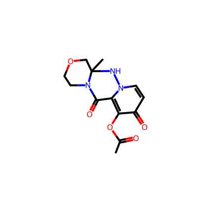 CC(=O)Oc1c2n(ccc1=O)NC1(C)COCCN1C2=O